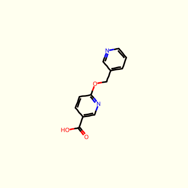 O=C(O)c1ccc(OCc2cccnc2)nc1